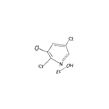 CCO.Clc1cnc(Cl)c(Cl)c1